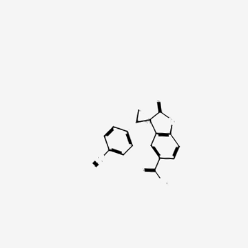 [C-]#[N+]c1ccc([C@@H]2C[C@@]23C(=O)Nc2ccc(C(=O)O)cc23)cc1